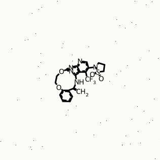 C=C1Nc2nc(nc3ncc(N4CCCS4(=O)=O)c(C(F)(F)F)c23)OCCOc2ccccc21